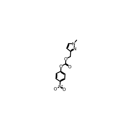 Cn1ccc(COC(=O)Oc2ccc([N+](=O)[O-])cc2)n1